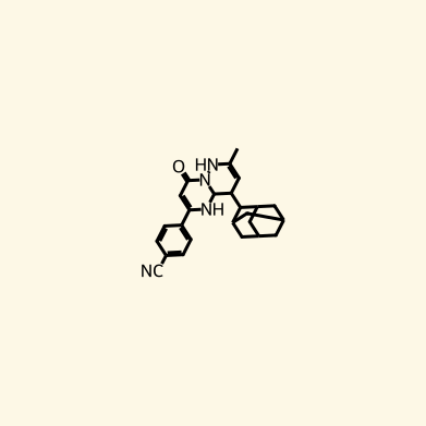 CC1=CC(C2C3CC4CC(C3)CC2C4)C2NC(c3ccc(C#N)cc3)=CC(=O)N2N1